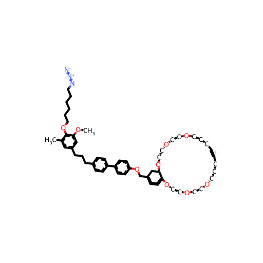 COc1cc(CCCc2ccc(-c3ccc(OCC4=C=C=C5OCCOCCOCCC/C=C\CCCOCCOCCOC5C4)cc3)cc2)cc(C)c1OCCCCCCN=[N+]=[N-]